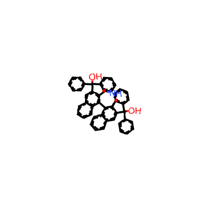 OC(c1ccccc1)(c1ccccc1)c1cc2ccccc2c2c1CNCc1c(C(O)(c3ccccc3)c3ccccc3)cc3ccccc3c1-2